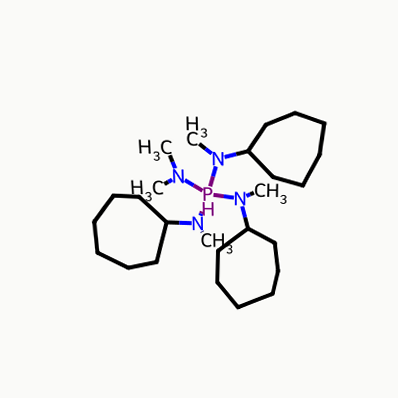 CN(C)[PH](N(C)C1CCCCCC1)(N(C)C1CCCCCC1)N(C)C1CCCCCC1